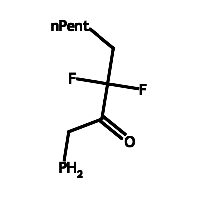 CCCCCCC(F)(F)C(=O)CP